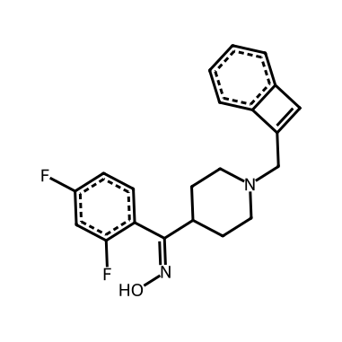 ON=C(c1ccc(F)cc1F)C1CCN(CC2=Cc3ccccc32)CC1